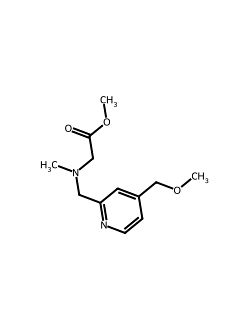 COCc1ccnc(CN(C)CC(=O)OC)c1